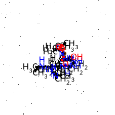 C=CN(CCCC(=C)N[C@@H](CCCCNC(=C)CC(C)CCC)C(=C)NCCCC(=C)NCC(=O)NCC(=C)NCC(=C)Nc1cc(CC(CC(C)C)NC(=C)c2csc(C(CC(C(C)C)N(C)C(=O)CCCC)OC(C)=O)n2)ccc1O)C(=C)CCC